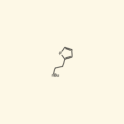 CCCCCCC1=CC=C[P]1